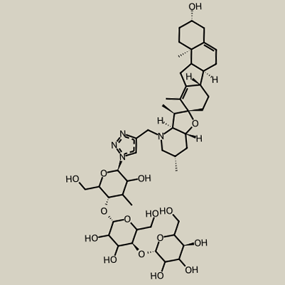 CC1=C2CC3[C@@H](CC=C4C[C@@H](O)CC[C@@]43C)[C@@H]2CC[C@]12O[C@@H]1C[C@H](C)CN(Cc3cn([C@@H]4OC(CO)[C@@H](O[C@@H]5OC(CO)[C@@H](O[C@@H]6OC(CO)[C@@H](O)C(O)C6O)C(O)C5O)C(C)C4O)nn3)[C@H]1[C@H]2C